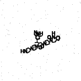 Cc1cc(C(C)C(CC(=O)N2CCC(N3CCc4ccccc4NC3=O)CC2)C(=O)N2CCN(C3CCNCC3)CC2)cc2cn[nH]c12